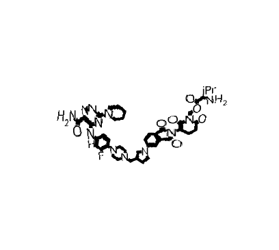 CC(C)[C@H](N)C(=O)OCN1C(=O)CCC(N2C(=O)c3ccc(N4CCC(CN5CCN(c6ccc(Nc7nc(N8CCCCC8)nnc7C(N)=O)cc6F)CC5)C4)cc3C2=O)C1=O